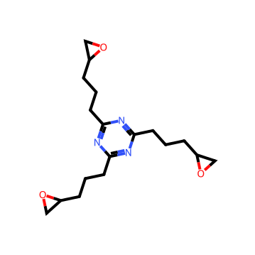 C(Cc1nc(CCCC2CO2)nc(CCCC2CO2)n1)CC1CO1